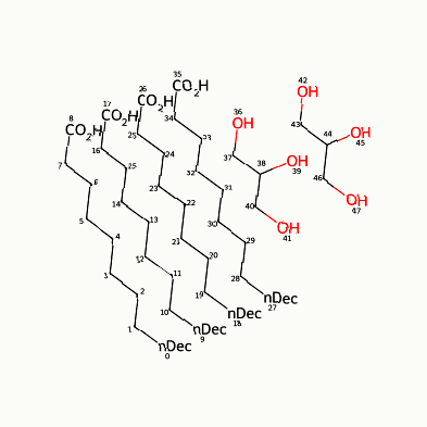 CCCCCCCCCCCCCCCCCC(=O)O.CCCCCCCCCCCCCCCCCC(=O)O.CCCCCCCCCCCCCCCCCC(=O)O.CCCCCCCCCCCCCCCCCC(=O)O.OCC(O)CO.OCC(O)CO